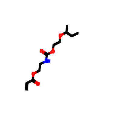 C=CC(=O)OCCNC(=O)OCCOC(C)CC